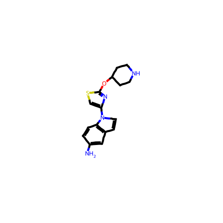 Nc1ccc2c(ccn2-c2csc(OC3CCNCC3)n2)c1